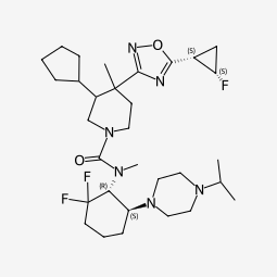 CC(C)N1CCN([C@H]2CCCC(F)(F)[C@@H]2N(C)C(=O)N2CCC(C)(c3noc([C@@H]4C[C@@H]4F)n3)C(C3CCCC3)C2)CC1